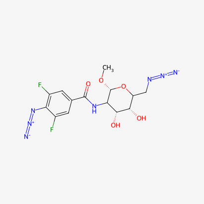 CO[C@@H]1OC(CN=[N+]=[N-])[C@H](O)[C@H](O)C1NC(=O)c1cc(F)c(N=[N+]=[N-])c(F)c1